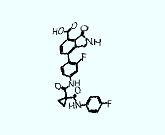 O=C(O)c1ccc(-c2ccc(NC(=O)C3(C(=O)Nc4ccc(F)cc4)CC3)cc2F)c2c1C(=O)NC2